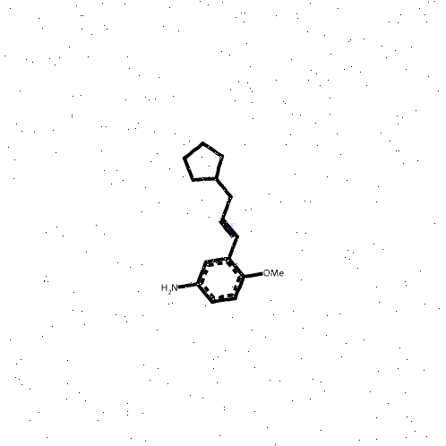 COc1ccc(N)cc1/C=C/CC1CCCC1